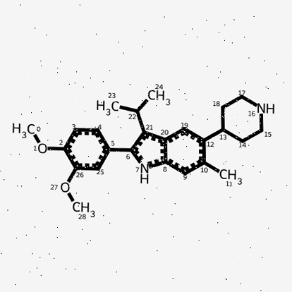 COc1ccc(-c2[nH]c3cc(C)c(C4CCNCC4)cc3c2C(C)C)cc1OC